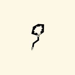 FCC[n+]1c[c]ccc1